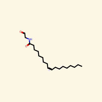 CCCCCCCC/C=C\CCCCCCCC(=O)NCC=O